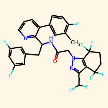 Cc1cc(-c2cccnc2C(Cc2cc(F)cc(F)c2)NC(=O)Cn2nc(C(F)F)c3c2C(F)(F)CCC3(F)F)ccc1F